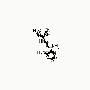 CN=C(NC#N)NCCN(C)c1nccnc1N